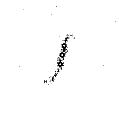 C=CC(=O)OCCOCCOc1ccc(C(=O)Oc2ccc(OC(=O)c3ccc(OCCCC)cc3)cc2)cc1